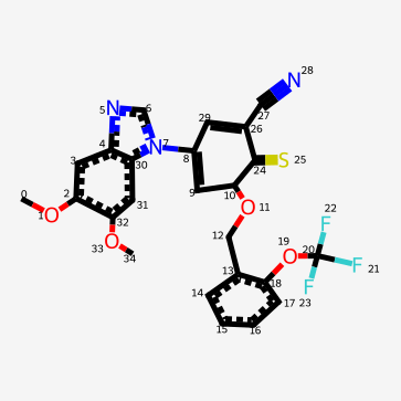 COc1cc2ncn(C3=CC(OCc4ccccc4OC(F)(F)F)C(=S)C(C#N)=C3)c2cc1OC